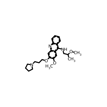 COc1cc2c(NCC(C)OC)c3ccccc3nc2cc1OCCCN1CCCC1